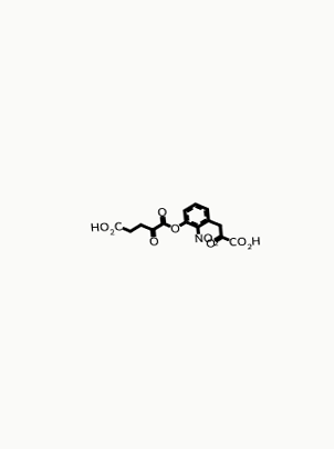 O=C(O)CCC(=O)C(=O)Oc1cccc(CC(=O)C(=O)O)c1[N+](=O)[O-]